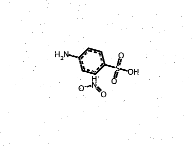 Nc1ccc(S(=O)(=O)O)cc1.O=[NH+][O-]